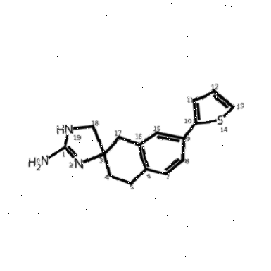 NC1=NC2(CCc3ccc(-c4cccs4)cc3C2)CN1